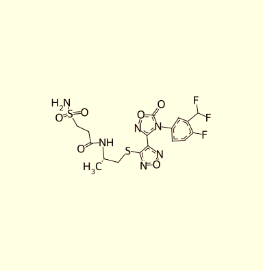 C[C@@H](CSc1nonc1-c1noc(=O)n1-c1ccc(F)c(C(F)F)c1)NC(=O)CCS(N)(=O)=O